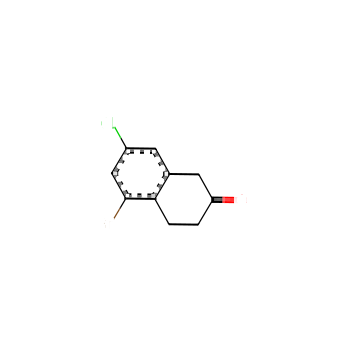 O=C1CCc2c(Br)cc(Cl)cc2C1